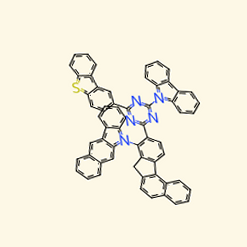 c1ccc2cc3c(cc2c1)c1ccccc1n3-c1c(-c2nc(-c3ccc4sc5ccccc5c4c3)nc(-n3c4ccccc4c4ccccc43)n2)ccc2c1Cc1ccc3ccccc3c1-2